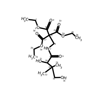 CCOC(=O)C(CNC(=O)C(O)C(C)(C)CO)(C(=O)OCC)C(=O)OCC